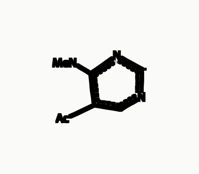 CNc1n[c]ncc1C(C)=O